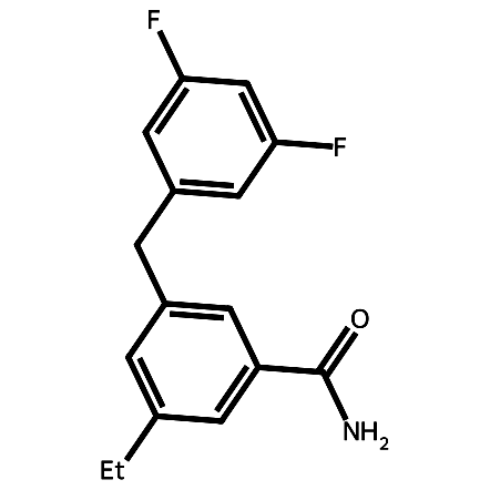 CCc1cc(Cc2cc(F)cc(F)c2)cc(C(N)=O)c1